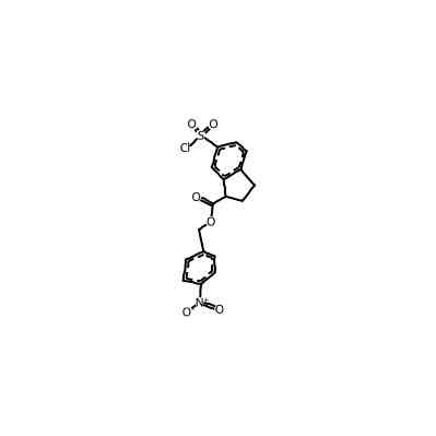 O=C(OCc1ccc([N+](=O)[O-])cc1)C1CCc2ccc(S(=O)(=O)Cl)cc21